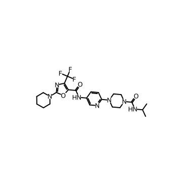 CC(C)NC(=O)N1CCN(c2ccc(NC(=O)c3oc(N4CCCCC4)nc3C(F)(F)F)cn2)CC1